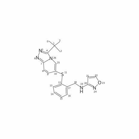 CC(C)(C)c1nnc2ccc(Sc3ccccc3CNc3ccon3)cn12